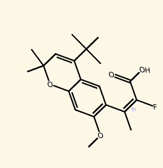 COc1cc2c(cc1/C(C)=C(/F)C(=O)O)C(C(C)(C)C)=CC(C)(C)O2